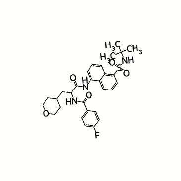 CC(C)(C)NS(=O)(=O)c1cccc2c(NC(=O)C(CC3CCOCC3)NC(=O)c3ccc(F)cc3)cccc12